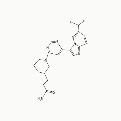 NC(=O)CCC1CCCN(c2cc(-c3cnc4ccc(C(F)F)nn34)ncn2)C1